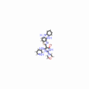 NC1CCCCC1Nc1cccc2sc(-c3c(NC4CCCNC4)nc(N4CCOCC4)[nH]c3=O)nc12